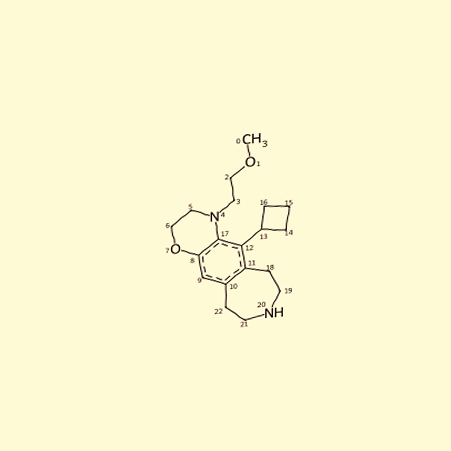 COCCN1CCOc2cc3c(c(C4CCC4)c21)CCNCC3